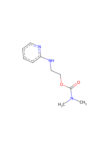 CN(C)C(=O)OCCNc1ccccn1